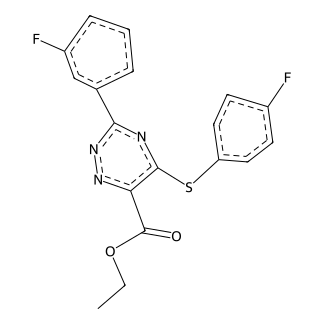 CCOC(=O)c1nnc(-c2cccc(F)c2)nc1Sc1ccc(F)cc1